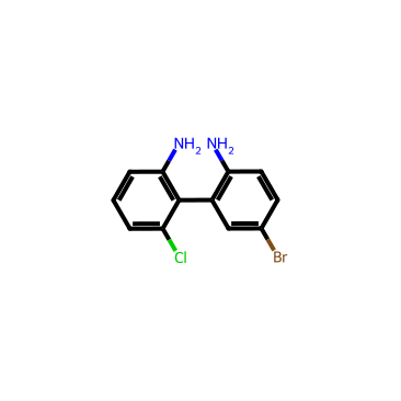 Nc1ccc(Br)cc1-c1c(N)cccc1Cl